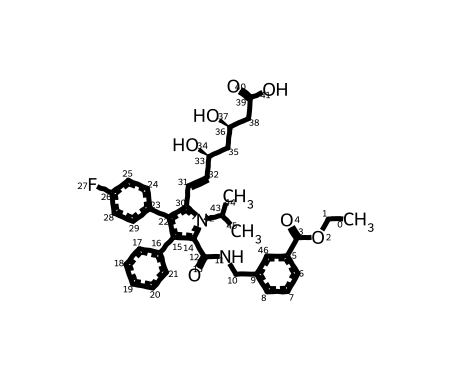 CCOC(=O)c1cccc(CNC(=O)c2c(-c3ccccc3)c(-c3ccc(F)cc3)c(C=C[C@@H](O)C[C@@H](O)CC(=O)O)n2C(C)C)c1